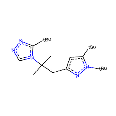 CC(C)(C)c1nncn1C(C)(C)Cc1cc(C(C)(C)C)n(C(C)(C)C)n1